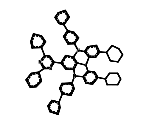 c1ccc(-c2ccc(N3c4ccc(C5CCCCC5)cc4B4c5cc(C6CCCCC6)ccc5N(c5ccc(-c6ccccc6)cc5)c5cc(-c6cc(-c7ccccc7)nc(-c7ccccc7)n6)cc3c54)cc2)cc1